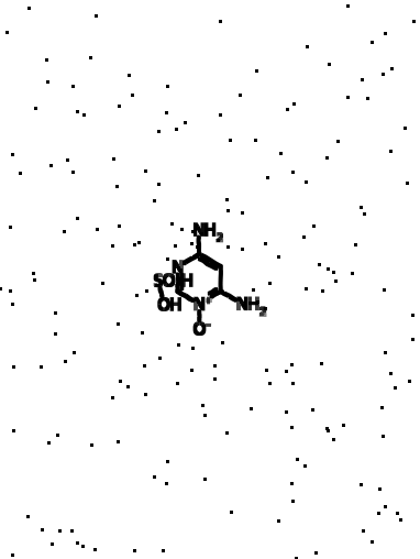 Nc1cc(N)[n+]([O-])cn1.O=S(=O)(O)O